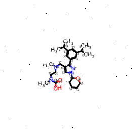 CC(C)c1cc(-c2nn(C3CCCCO3)cc2CN(C)CCN(C)C(=O)O)cc(C(C)C)c1